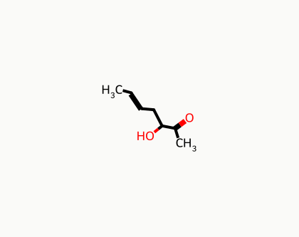 CC=CCC(O)C(C)=O